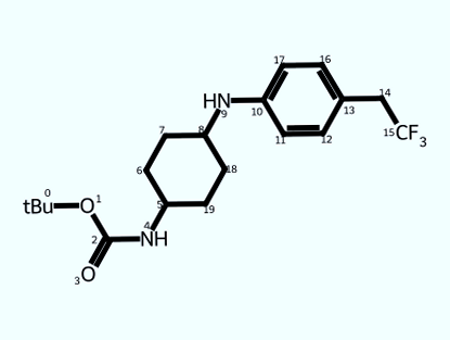 CC(C)(C)OC(=O)NC1CCC(Nc2ccc(CC(F)(F)F)cc2)CC1